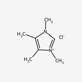 Cc1c(C)[n+](C)cn1C.[Cl-]